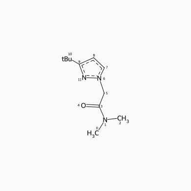 CN(C)C(=O)Cn1ccc(C(C)(C)C)n1